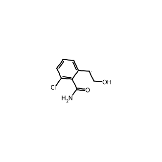 NC(=O)c1c(Cl)cccc1[CH]CO